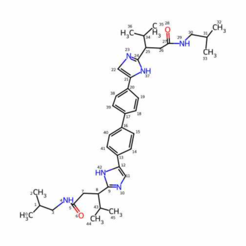 CC(C)CNC(=O)CC(c1ncc(-c2ccc(-c3ccc(-c4cnc(C(CC(=O)NCC(C)C)C(C)C)[nH]4)cc3)cc2)[nH]1)C(C)C